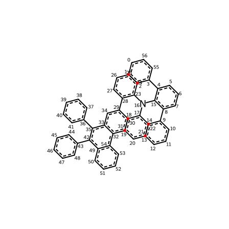 c1ccc(-c2cccc(-c3ccccc3)c2N(c2ccccc2)c2ccccc2-c2ccc3c(c2)c(-c2ccccc2)c(-c2ccccc2)c2ccccc23)cc1